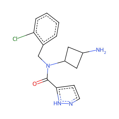 NC1CC(N(Cc2ccccc2Cl)C(=O)c2ccn[nH]2)C1